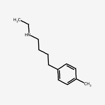 CCNCCCCc1ccc(C)cc1